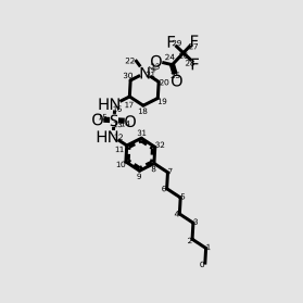 CCCCCCCCc1ccc(NS(=O)(=O)NC2CCC[N+](C)(OC(=O)C(F)(F)F)C2)cc1